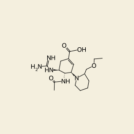 CCOCC1CCCCN1[C@@H]1C=C(C(=O)O)C[C@H](NC(=N)N)[C@H]1NC(C)=O